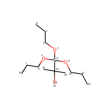 CCCO[Si](OCCC)(OCCC)C(C)(C)Br